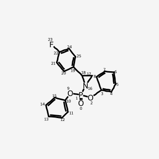 O=P(Oc1ccccc1)(Oc1ccccc1)N1CC1c1ccc(F)cc1